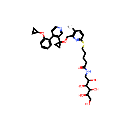 Cc1ccc(SCCCCC(=O)NCC(O)C(O)C(O)C(O)CO)nc1COC1(c2cnccc2-c2ccccc2OC2CC2)CC1